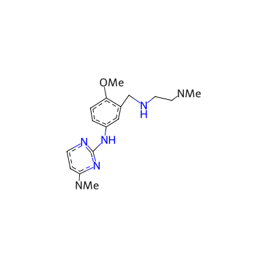 CNCCNCc1cc(Nc2nccc(NC)n2)ccc1OC